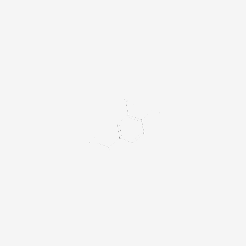 Cc1ccc(CC=O)cc1[N+](=O)[O-]